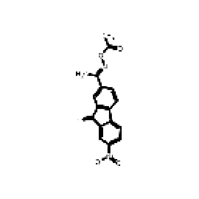 CC(=O)O/N=C(\C)c1ccc2c(c1)C(=O)c1cc([N+](=O)[O-])ccc1-2